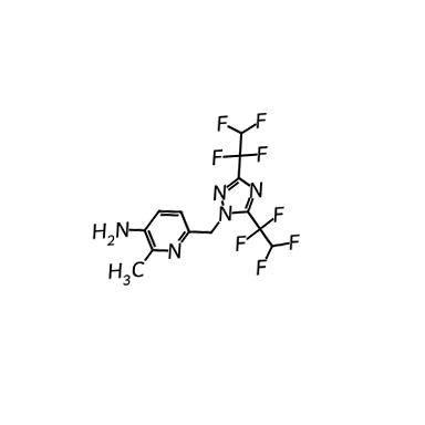 Cc1nc(Cn2nc(C(F)(F)C(F)F)nc2C(F)(F)C(F)F)ccc1N